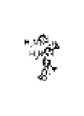 Nc1ccnc(Nc2cc(N)c(N3CCN(C(=O)C[C@H]4CCO4)[C@H](C4CC4)C3)nc2C2CC2)n1